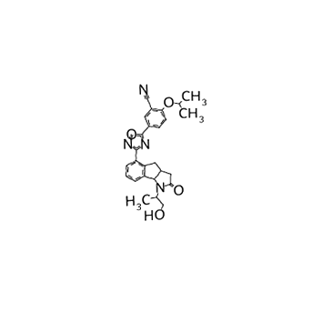 CC(C)Oc1ccc(-c2nc(-c3cccc4c3CC3CC(=O)N(C(C)CO)C43)no2)cc1C#N